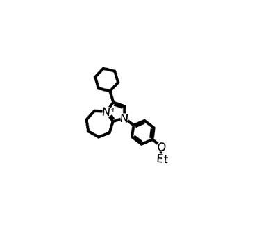 CCOc1ccc(-n2cc(C3CCCCC3)[n+]3c2CCCCC3)cc1